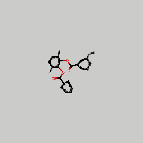 CCc1cccc(C(=O)Oc2c(C)ccc(C)c2OC(=O)c2ccccc2)c1